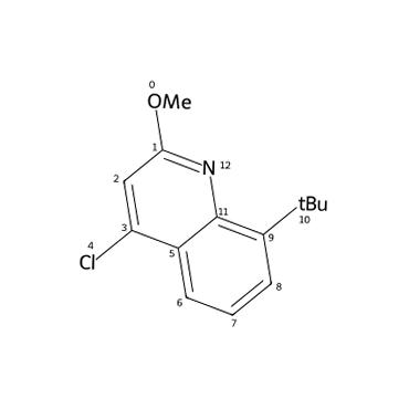 COc1cc(Cl)c2cccc(C(C)(C)C)c2n1